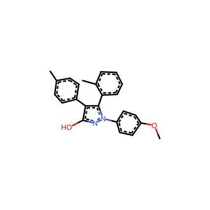 COc1ccc(-n2nc(O)c(-c3ccc(C)cc3)c2-c2ccccc2C)cc1